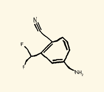 N#Cc1ccc(N)cc1C(F)F